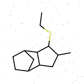 CCSC1C(C)CC2C3CCC(C3)C21